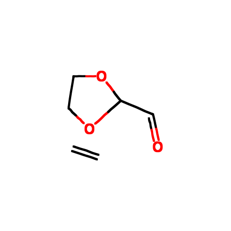 C=C.O=CC1OCCO1